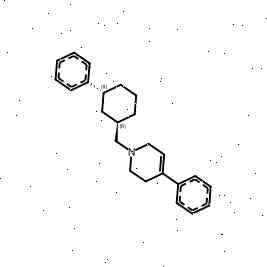 C1=C(c2ccccc2)CCN(C[C@@H]2CCC[C@@H](c3ccccc3)C2)C1